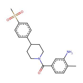 Cc1ccc(C(=O)N2CCC(c3ccc(S(C)(=O)=O)cc3)CC2)cc1N